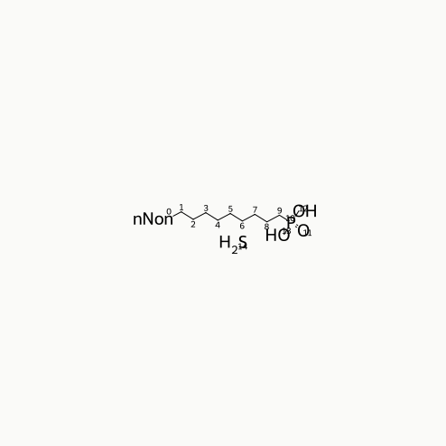 CCCCCCCCCCCCCCCCCCP(=O)(O)O.S